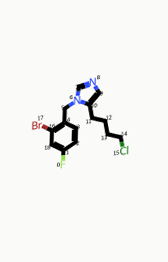 Fc1ccc(Cn2cncc2CCCCCl)c(Br)c1